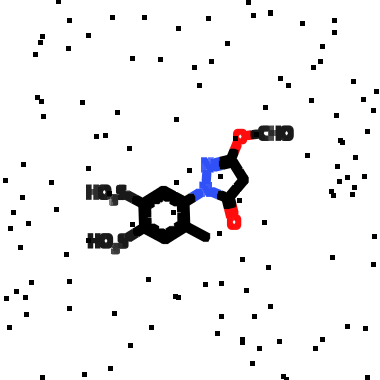 Cc1cc(S(=O)(=O)O)c(S(=O)(=O)O)cc1N1N=C(OC=O)CC1=O